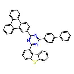 c1ccc(-c2ccc(-c3nc(-c4ccc5c6ccccc6c6ccccc6c5c4)nc(-c4cccc5sc6ccccc6c45)n3)cc2)cc1